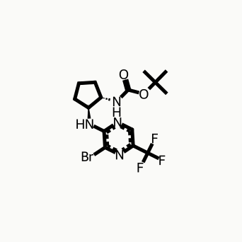 CC(C)(C)OC(=O)N[C@H]1CCC[C@@H]1Nc1ncc(C(F)(F)F)nc1Br